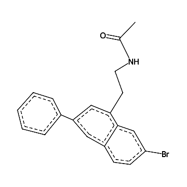 CC(=O)NCCc1cc(-c2ccccc2)cc2ccc(Br)cc12